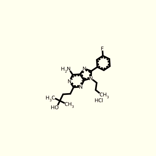 CCCn1c(-c2cccc(F)c2)nc2c(N)nc(CCC(C)(C)O)nc21.Cl